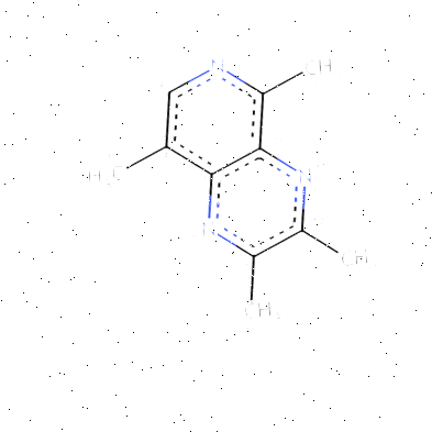 Cc1nc2c(C)cnc(C)c2nc1C